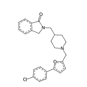 O=C1c2ccccc2CN1CC1CCN(Cc2ccc(-c3ccc(Cl)cc3)o2)CC1